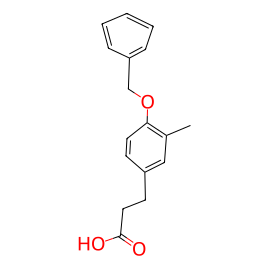 Cc1cc(CCC(=O)O)ccc1OCc1ccccc1